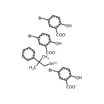 CC(C)([CH2][Sn+3])c1ccccc1.O=C([O-])c1cc(Br)ccc1O.O=C([O-])c1cc(Br)ccc1O.O=C([O-])c1cc(Br)ccc1O